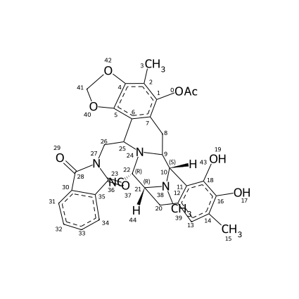 CC(=O)Oc1c(C)c2c(c3c1CC1[C@@H]4c5c(cc(C)c(O)c5O)C[C@H]([C@H](C#N)N1C3CN1C(=O)c3ccccc3C1=O)N4C)OCO2